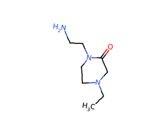 CCN1CCN(CCN)C(=O)C1